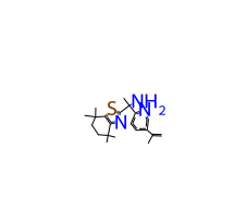 C=C(C)c1ccc(C(C)(N)c2nc3c(s2)C(C)(C)CCC3(C)C)nc1